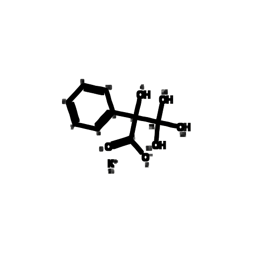 O=C([O-])C(O)(c1ccccc1)C(O)(O)O.[K+]